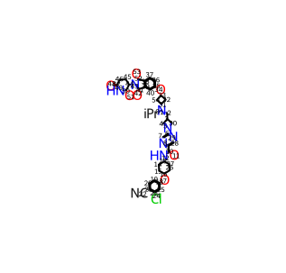 CC(C)N(CC1CN(c2cnc(C(=O)NC3CCC(Oc4ccc(C#N)c(Cl)c4)CC3)cn2)C1)C1CC(Oc2ccc3c(c2)C(=O)N([C@@H]2CCC(=O)NC2=O)C3=O)C1